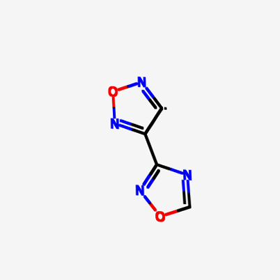 [c]1nonc1-c1ncon1